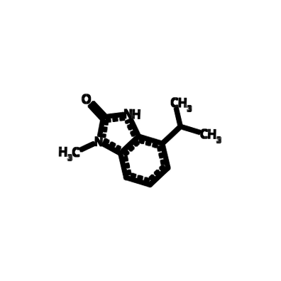 CC(C)c1cccc2c1[nH]c(=O)n2C